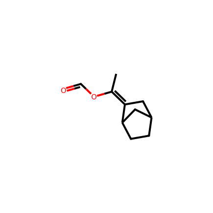 CC(OC=O)=C1CC2CCC1C2